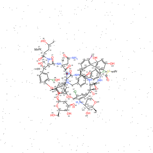 CCCSC(=O)[C@@H]1NC(=O)[C@H]2NC(=O)[C@H](NC(=O)[C@@H]3NC(=O)[C@H](CC(N)=O)NC(=O)[C@H](NC(=O)[C@@H](CC(C)O)NC)[C@H](O)c4ccc(c(Cl)c4)Oc4cc3cc(c4O[C@@H]3O[C@H](CO)[C@@H](O)[C@H](O)[C@H]3O[C@H]3C[C@](C)(NCc4ccc(-c5ccc(Cl)cc5)cc4)[C@@H](O)[C@H](C)O3)Oc3ccc(cc3Cl)[C@H]2O[C@H]2C[C@](C)(N)[C@@H](O)[C@H](C)O2)c2ccc(I)c(c2)-c2c(O)cc(O)cc21